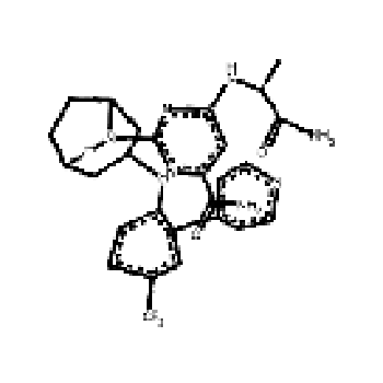 C[C@H](Nc1cc(C(N)=O)nc(N2CC3CCC2CC(Oc2ccc(C(F)(F)F)cc2-c2ccncc2)C3)n1)C(N)=O